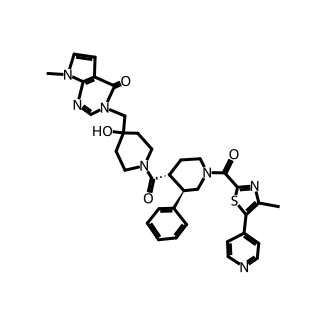 Cc1nc(C(=O)N2CC[C@@H](C(=O)N3CCC(O)(Cn4cnc5c(ccn5C)c4=O)CC3)[C@H](c3ccccc3)C2)sc1-c1ccncc1